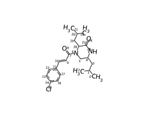 CC(C)CC1CN(C(=O)C=Cc2ccc(Cl)cc2)C(CC(C)C)C(=O)N1